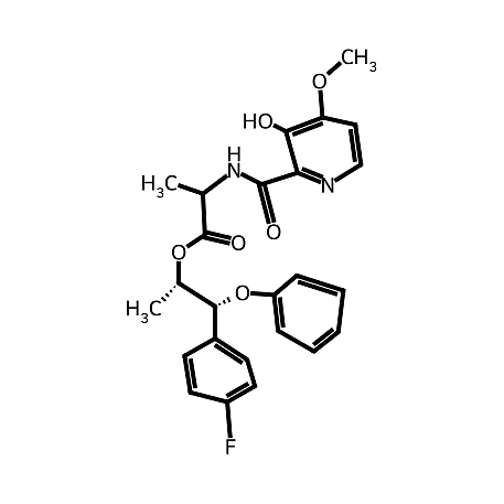 COc1ccnc(C(=O)NC(C)C(=O)O[C@@H](C)[C@H](Oc2ccccc2)c2ccc(F)cc2)c1O